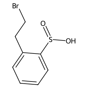 O=S(O)c1ccccc1CCBr